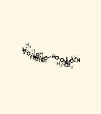 Cc1ncsc1-c1ccc([C@H](C)NC(=O)[C@@H]2CCCN2C(=O)C(NC(=O)COCCCCOc2ccc(-c3ccc(N4C(=S)N(c5ccc(C#N)c(C(F)(F)F)c5)C(=O)C4(C)C)cc3)cc2)C(C)(C)C)cc1